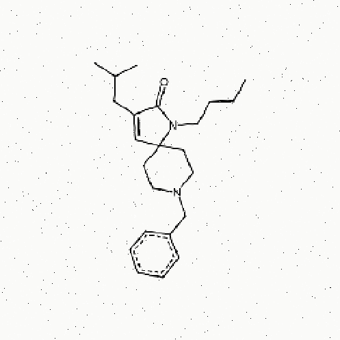 CCCCN1C(=O)C(CC(C)C)=CC12CCN(Cc1ccccc1)CC2